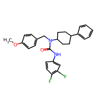 COc1ccc(CN(C(=O)Nc2ccc(F)c(F)c2)C2CCC(c3ccccc3)CC2)cc1